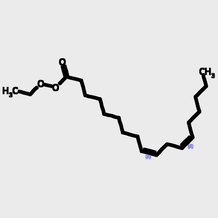 CCCCC/C=C\C/C=C\CCCCCCCC(=O)OOCC